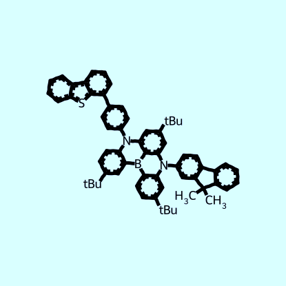 CC(C)(C)c1ccc2c(c1)B1c3ccc(C(C)(C)C)cc3N(c3ccc4c(c3)C(C)(C)c3ccccc3-4)c3cc(C(C)(C)C)cc(c31)N2c1ccc(-c2cccc3c2sc2ccccc23)cc1